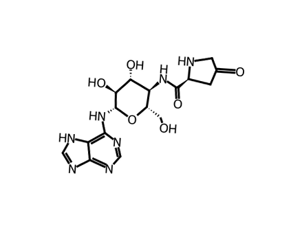 O=C1CN[C@H](C(=O)N[C@@H]2[C@@H](O)[C@H](O)[C@@H](Nc3ncnc4nc[nH]c34)O[C@H]2CO)C1